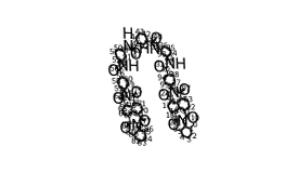 Cc1cccc(C)c1N1C(=O)c2ccc3c4c(ccc(c24)C1=O)C(=O)N(c1ccc(C(=O)Nc2cccc(NC(=O)c4cccc(C(=O)Nc5cccc(NC(=O)c6ccc(N7C(=O)c8ccc9c%10c(ccc(c8%10)C7=O)C(=O)N(c7c(C)cccc7C)C9=O)cc6)c5)c4)c2)cc1)C3=O